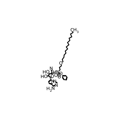 CCCCCCCCCCCCCCCCOCCCNP(=O)(OC[C@@]1(C#N)O[C@@H](c2ccc3c(N)ncnn23)[C@H](O)[C@@H]1O)Oc1ccccc1